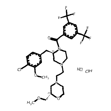 COC[C@@H]1CN(CCN2CCN(C(=O)c3cc(C(F)(F)F)cc(C(F)(F)F)c3)[C@H](Cc3ccc(Cl)c(OC)c3)C2)CCO1.Cl.Cl